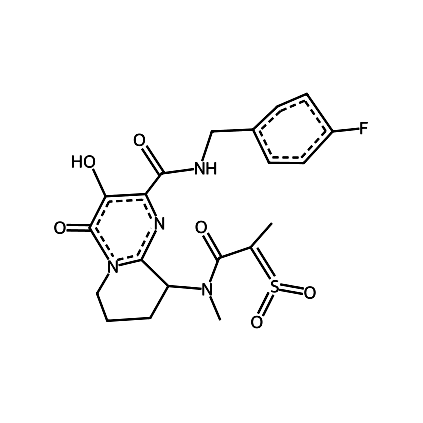 CC(C(=O)N(C)C1CCCn2c1nc(C(=O)NCc1ccc(F)cc1)c(O)c2=O)=S(=O)=O